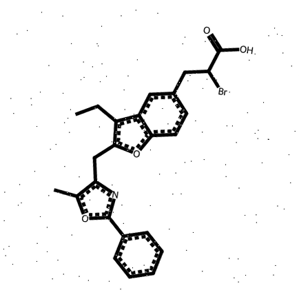 CCc1c(Cc2nc(-c3ccccc3)oc2C)oc2ccc(CC(Br)C(=O)O)cc12